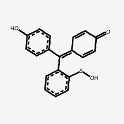 O=C1C=CC(=C(c2ccc(O)cc2)c2ccccc2SO)C=C1